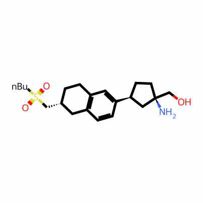 CCCCS(=O)(=O)C[C@@H]1CCc2cc([C@H]3CC[C@](N)(CO)C3)ccc2C1